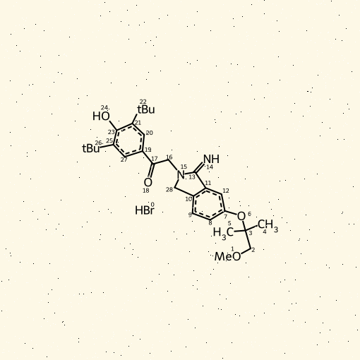 Br.COCC(C)(C)Oc1ccc2c(c1)C(=N)N(CC(=O)c1cc(C(C)(C)C)c(O)c(C(C)(C)C)c1)C2